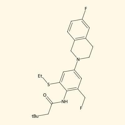 CCSc1cc(N2CCc3cc(F)ccc3C2)cc(CF)c1NC(=O)CC(C)(C)C